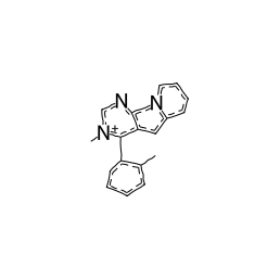 Cc1ccccc1-c1c2cc3ccccn3c2nc[n+]1C